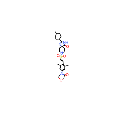 Cc1cc(N2CCOCC2=O)cc(C)c1C=CS(=O)(=O)N1CCC2(CC1)N=C(C1CCC(C)CC1)NC2=O